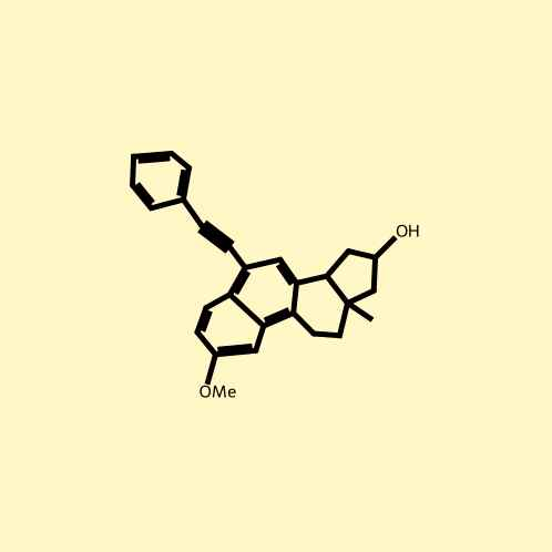 COc1ccc2c(C#Cc3ccccc3)cc3c(c2c1)CCC1(C)CC(O)CC31